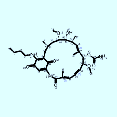 CCCCNC1=C2C[C@@H](C)C[C@H](OC)[C@H](O)[C@@H](C)/C=C(\C)[C@H](OC(N)=O)[C@@H](OC)/C=C\C=C(/C)C(=O)NC(=CC1=O)C2=O